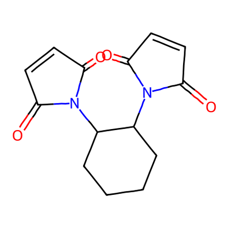 O=C1C=CC(=O)N1C1CCCCC1N1C(=O)C=CC1=O